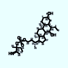 CC[C@@H]1C2C[C@H](O)CC[C@]2(C)C2CC[C@@]3(C)C(CCC3[C@H](C)CCOS(=O)(=O)OC(C)(CC)C(C)=N)C2[C@@H]1O